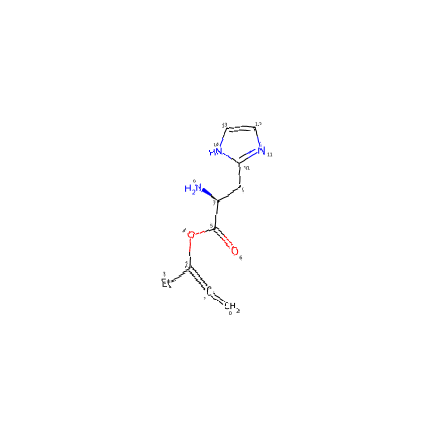 C=C=C(CC)OC(=O)[C@@H](N)Cc1ncc[nH]1